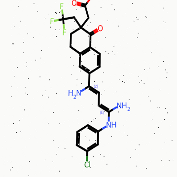 N/C(=C\C=C(/N)Nc1cccc(Cl)c1)c1ccc2c(c1)CCC(CC(=O)O)(CC(F)(F)F)C2=O